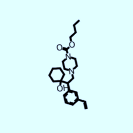 C=Cc1cccc(C(CN2CCN(C(=O)OCCCC)CC2)C2(O)CCCCC2)c1